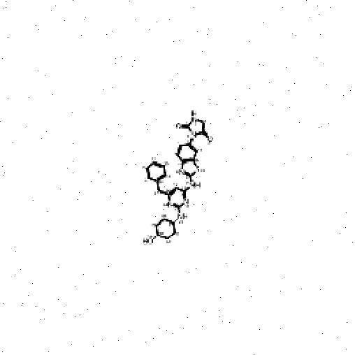 O=C1CNC(=O)N1c1ccc2nc(Nc3cc(Cc4ccccc4)nc(N[C@H]4CC[C@H](O)CC4)n3)sc2c1